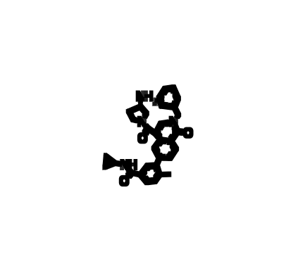 Cc1ccc(C(=O)NC2CC2)cc1-c1ccc2c(=O)n(Cc3ccccc3)cc(C(=O)N3CC[C@@H](N)C3)c2c1